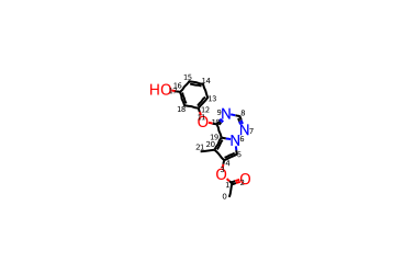 CC(=O)Oc1cn2ncnc(Oc3cccc(O)c3)c2c1C